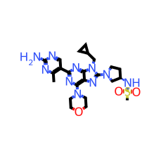 Cc1nc(N)ncc1-c1nc(N2CCOCC2)c2nc(N3CC[C@@H](NS(C)(=O)=O)C3)n(CC3CC3)c2n1